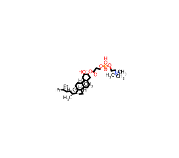 CC[C@H](CC[C@@H](C)[C@H]1CC[C@H]2[C@@H]3CCC4CC(OC(=O)CCOP(=O)(O)OCC[N+](C)(C)C)CC[C@]4(C)[C@H]3CC[C@]12C)C(C)C.[OH-]